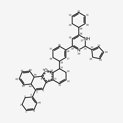 C1=CCCC(C2=Cc3c(oc4c3C=CCC4C3C=C(C4=NC(C5=CC=CC5)NC(C5C=CC=CC5)=C4)C=CC3)C3C=CC=CC23)=C1